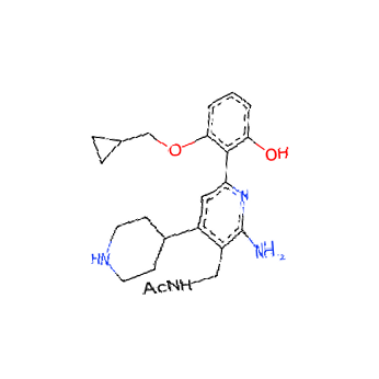 CC(=O)NCc1c(C2CCNCC2)cc(-c2c(O)cccc2OCC2CC2)nc1N